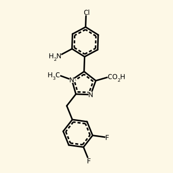 Cn1c(Cc2ccc(F)c(F)c2)nc(C(=O)O)c1-c1ccc(Cl)cc1N